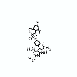 CCN1C(=O)N(c2ccc(-c3c(C)[nH]c4nc(C)nc(N)c34)c(F)c2)CC1c1ccc(F)cc1F